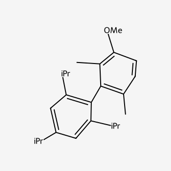 COc1ccc(C)c(-c2c(C(C)C)cc(C(C)C)cc2C(C)C)c1C